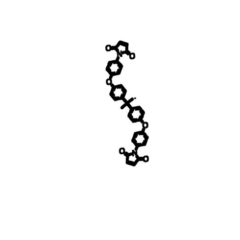 [CH2]C(C)(c1ccc(Oc2ccc(N3C(=O)C=CC3=O)cc2)cc1)c1ccc(Oc2ccc(N3C(=O)C=CC3=O)cc2)cc1